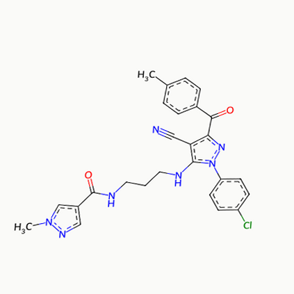 Cc1ccc(C(=O)c2nn(-c3ccc(Cl)cc3)c(NCCCNC(=O)c3cnn(C)c3)c2C#N)cc1